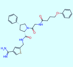 N=C(N)c1csc(CNC(=O)[C@@H]2C[C@H](c3ccccc3)CN2C(=O)CNC(=O)CCCOc2ccccc2)c1